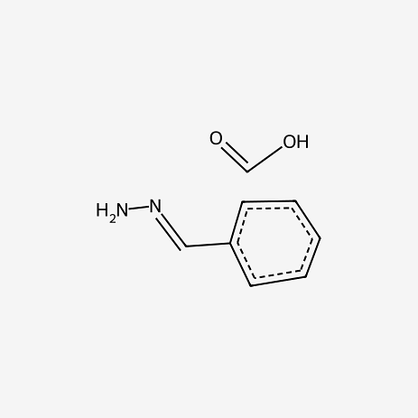 NN=Cc1ccccc1.O=CO